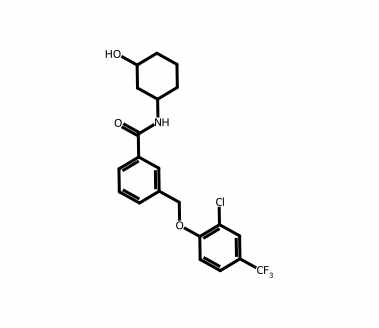 O=C(NC1CCCC(O)C1)c1cccc(COc2ccc(C(F)(F)F)cc2Cl)c1